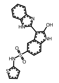 O=S(=O)(Nc1cccs1)c1ccc2[nH]c(O)c(-c3nc4ccccc4[nH]3)c2c1